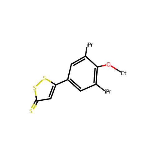 CCOc1c(C(C)C)cc(-c2cc(=S)ss2)cc1C(C)C